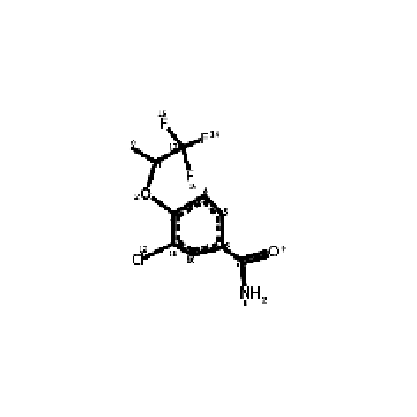 CC(Oc1ccc(C(N)=O)cc1Cl)C(F)(F)F